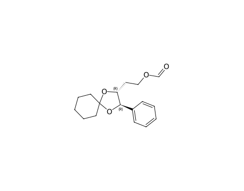 O=COCC[C@H]1OC2(CCCCC2)O[C@@H]1c1ccccc1